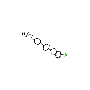 CCCC1CCC(C2CCC(C3Cc4ccc(Br)cc4C3)CC2)CC1